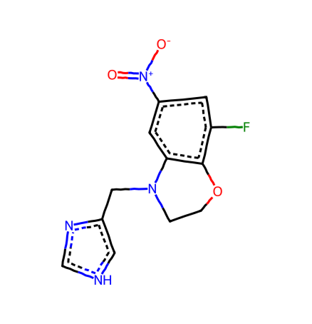 O=[N+]([O-])c1cc(F)c2c(c1)N(Cc1c[nH]cn1)CCO2